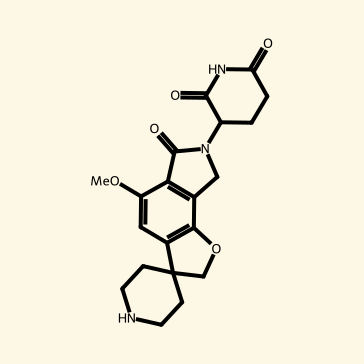 COc1cc2c(c3c1C(=O)N(C1CCC(=O)NC1=O)C3)OCC21CCNCC1